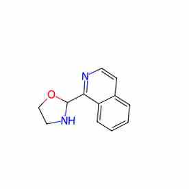 c1ccc2c(C3NCCO3)nccc2c1